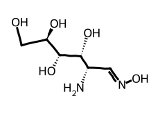 N[C@@H](/C=N/O)[C@@H](O)[C@H](O)[C@H](O)CO